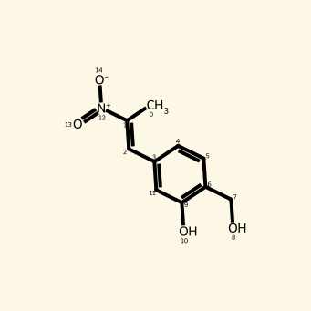 C/C(=C\c1ccc(CO)c(O)c1)[N+](=O)[O-]